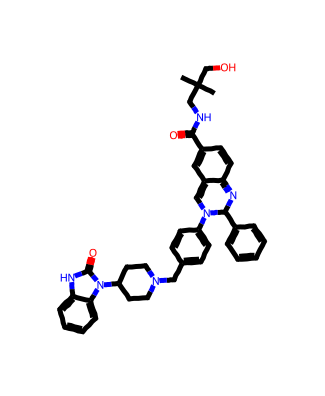 CC(C)(CO)CNC(=O)c1ccc2c(c1)=CN(c1ccc(CN3CCC(n4c(=O)[nH]c5ccccc54)CC3)cc1)C(c1ccccc1)N=2